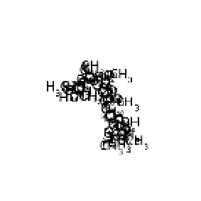 C/C=C(\C)C(=O)O[C@@H]1CC2C(CC=C3C[C@@H](OC4CC(OC)C(OC5CC(OC)C(OC6CC(OC)C(OC7CC(OC)C(O)C(C)O7)C(C)O6)C(C)O5)C(C)O4)CC[C@@]32C)[C@@]2(O)CCC(C(C)=O)[C@@]12C